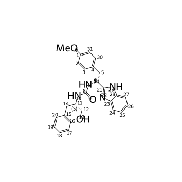 COc1ccc(C[C@@H](NC(=O)N[C@H](CO)Cc2ccccc2)c2nc3ccccc3[nH]2)cc1